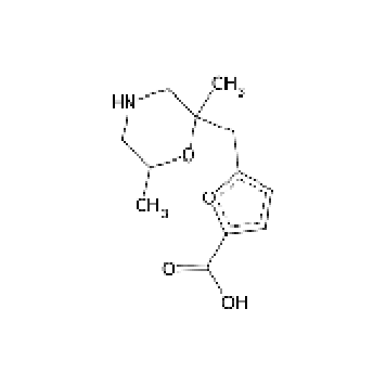 CC1CNCC(C)(Cc2ccc(C(=O)O)o2)O1